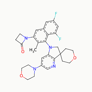 Cc1c(N2CCC2=O)cc2cc(F)cc(F)c2c1N1CC2(CCOCC2)c2ncc(N3CCOCC3)cc21